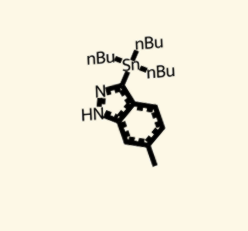 CCC[CH2][Sn]([CH2]CCC)([CH2]CCC)[c]1n[nH]c2cc(C)ccc12